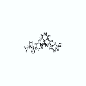 O=C(NC1CC1)C1CCN(c2nc(-c3ccnc(Cl)c3)cc3cnccc23)CC1